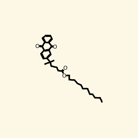 CCCCCCCCCCCCOC(=O)CCCC(C)(C)c1ccc2c(c1)C(=O)c1ccccc1C2=O